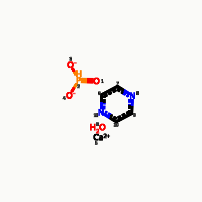 O.O=[PH]([O-])[O-].[Ca+2].c1cnccn1